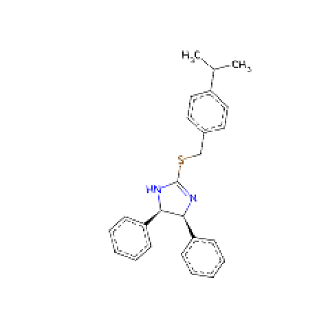 CC(C)c1ccc(CSC2=N[C@@H](c3ccccc3)[C@@H](c3ccccc3)N2)cc1